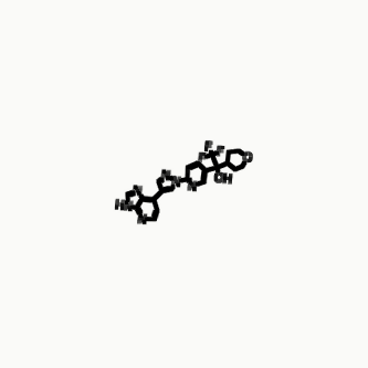 OC(c1ccc(-n2cc(-c3ccnc4[nH]cnc34)cn2)nc1)(C1CCOCC1)C(F)(F)F